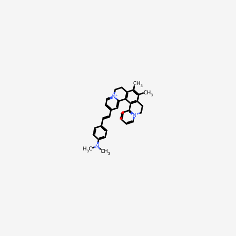 Cc1c(C)c2c(c3c1CC[n+]1ccc(/C=C/c4ccc(N(C)C)cc4)cc1-3)-c1c3ccccc3cc[n+]1CC2